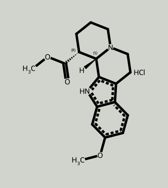 COC(=O)[C@@H]1CCCN2CCc3c([nH]c4cc(OC)ccc34)[C@H]12.Cl